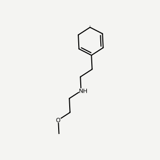 COCCNCCC1=CC[CH]C=C1